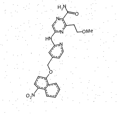 COCCc1nc(Nc2cc(COc3ccc([N+](=O)[O-])c4ccccc34)ccn2)cnc1C(N)=O